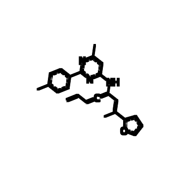 C=CC=C=C(/C=C(\C)c1ccco1)Nc1cc(C)nc(-c2ccc(C)cc2)n1